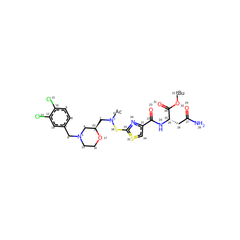 CC(=O)N(C[C@@H]1CN(Cc2ccc(Cl)c(Cl)c2)CCO1)Sc1nc(C(=O)N[C@@H](CC(N)=O)C(=O)OC(C)(C)C)cs1